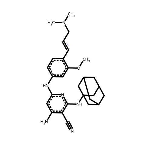 COc1cc(Nc2cc(N)c(C#N)c(NC34CC5CC(CC(C5)C3)C4)n2)ccc1/C=C/CN(C)C